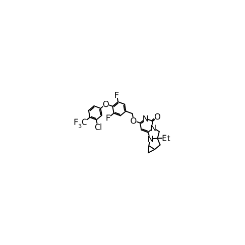 CCC12CC3CC3N1c1cc(OCc3cc(F)c(Oc4ccc(C(F)(F)F)c(Cl)c4)c(F)c3)nc(=O)n1C2